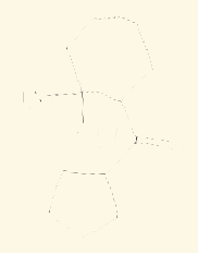 NC1(C(=O)O)CCCCC1C(=O)C1CCCC1